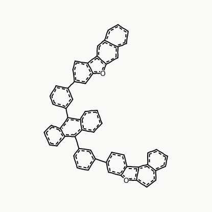 c1cc(-c2ccc3c(c2)oc2cc4ccccc4cc23)cc(-c2c3ccccc3c(-c3cccc(-c4ccc5c(c4)oc4ccc6ccccc6c45)c3)c3ccccc23)c1